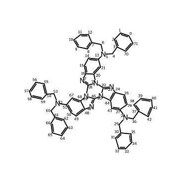 c1ccc(CN(Cc2ccccc2)c2ccc3nc4n(c3c2)c2nc3ccc(N(Cc5ccccc5)Cc5ccccc5)cc3n2c2nc3ccc(N(Cc5ccccc5)Cc5ccccc5)cc3n42)cc1